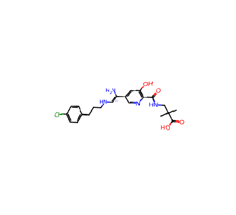 CC(C)(CNC(=O)c1ncc(/C(N)=C/NCCCc2ccc(Cl)cc2)cc1O)C(=O)O